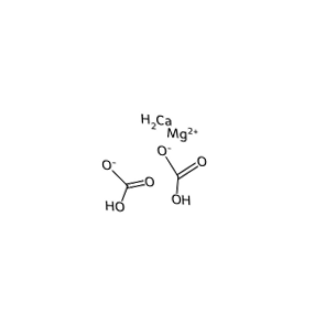 O=C([O-])O.O=C([O-])O.[CaH2].[Mg+2]